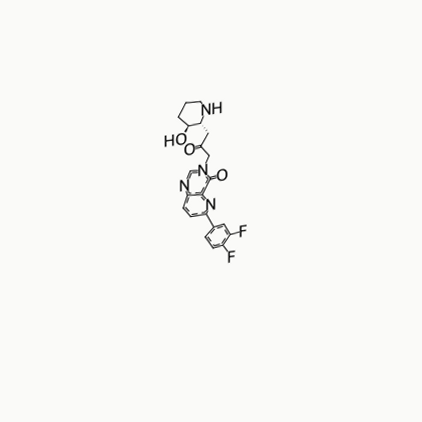 O=C(C[C@H]1NCCC[C@@H]1O)Cn1cnc2ccc(-c3ccc(F)c(F)c3)nc2c1=O